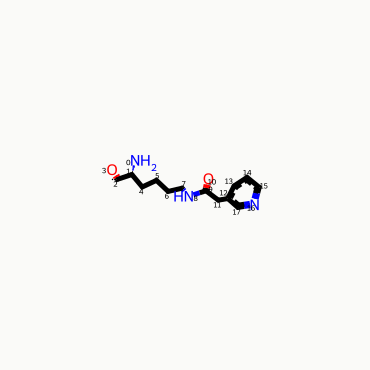 N[C@@H]([C]=O)CCCCNC(=O)Cc1cccnc1